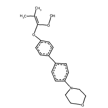 CC(C)=C(OO)Oc1ccc(-c2ccc(N3CCOCC3)cc2)cc1